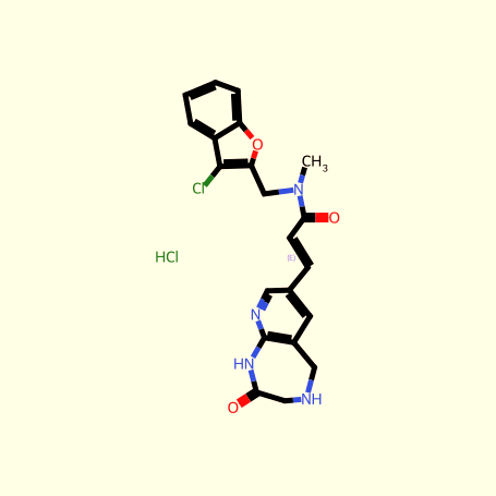 CN(Cc1oc2ccccc2c1Cl)C(=O)/C=C/c1cnc2c(c1)CNCC(=O)N2.Cl